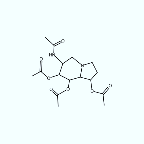 CC(=O)NC1CN2CCC(OC(C)=O)C2C(OC(C)=O)C1OC(C)=O